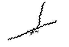 CCCCCCCCCCCCCCCCC(=CCC(CCCCCCCCCCCC)CCCCCCCCCCCCCCCC)C(=O)O